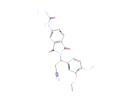 CCOc1cc(C(CC#N)N2C(=O)c3ccc(NC(N)=O)cc3C2=O)ccc1OC